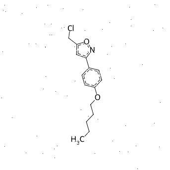 CCCCCOc1ccc(-c2cc(CCl)on2)cc1